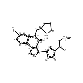 COCC(C)c1nc(-c2ncn3c2c(=O)n(CC2CCCO2)c2cc(F)ccc23)no1